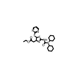 CCOC(=O)CC1N=C(NC(=O)N(C2CCCCC2)C2CCCCC2)SC1Sc1ncccn1